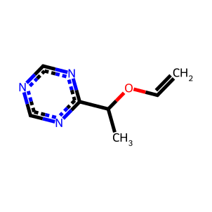 C=COC(C)c1ncncn1